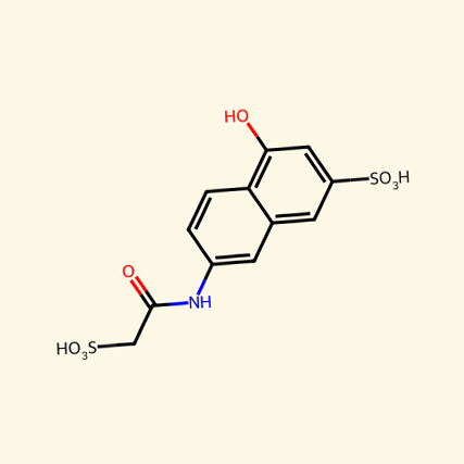 O=C(CS(=O)(=O)O)Nc1ccc2c(O)cc(S(=O)(=O)O)cc2c1